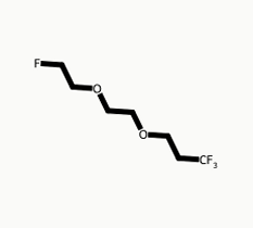 FCCOCCOCCC(F)(F)F